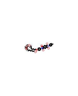 COCCCCCC[Si](C)(C)O[Si](C)(C)O[Si](C)(C)O[Si](C)(C)CCCCCCOc1ccc(-n2c(=O)c3cc4c(=O)n(-c5ccc(C)cc5)c(=O)c4cc3c2=O)cc1